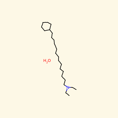 CCN(CC)CCCCCCCCCCCCCCC1CCCCC1.O